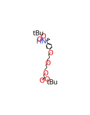 CC(C)(C)OC(=O)COCCCOCCCOc1ccc(C2(NC(=O)OC(C)(C)C)CC2)cc1